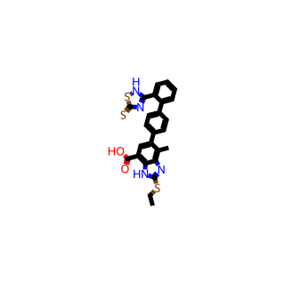 CCSc1nc2c(C)c(-c3ccc(-c4ccccc4-c4nc(=S)s[nH]4)cc3)cc(C(=O)O)c2[nH]1